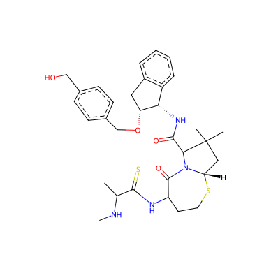 CNC(C)C(=S)NC1CCS[C@H]2CC(C)(C)C(C(=O)N[C@H]3c4ccccc4C[C@H]3OCc3ccc(CO)cc3)N2C1=O